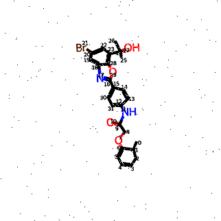 CC1CC=CC=C1OCC(=O)Nc1ccc(-c2nc3cc(Br)cc(C(C)(C)O)c3o2)cc1